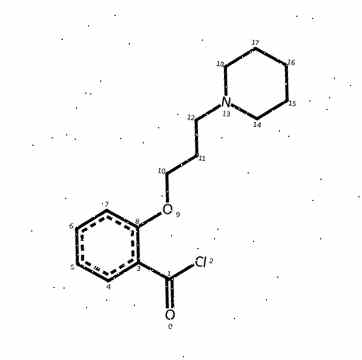 O=C(Cl)c1ccccc1OCCCN1CCCCC1